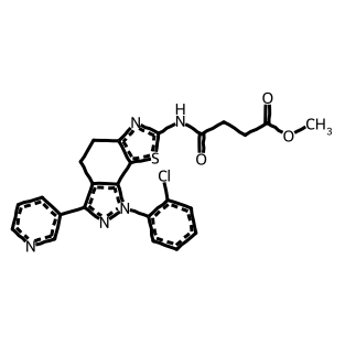 COC(=O)CCC(=O)Nc1nc2c(s1)-c1c(c(-c3cccnc3)nn1-c1ccccc1Cl)CC2